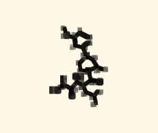 COc1cccc(N2CCN(C(=O)C(CC(C)C)[C@H](O)C(=O)NO)[C@H](C)C2)c1